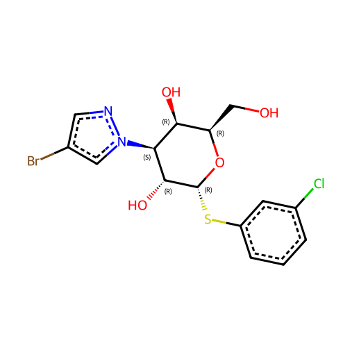 OC[C@H]1O[C@H](Sc2cccc(Cl)c2)[C@H](O)[C@@H](n2cc(Br)cn2)[C@H]1O